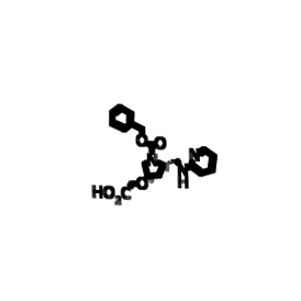 O=C(O)CO[C@@H]1C[C@@H](CNc2ccccn2)N(C(=O)OCc2ccccc2)C1